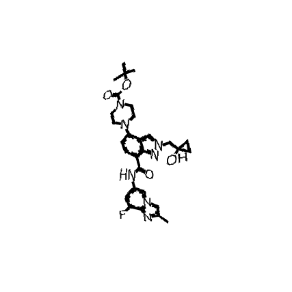 Cc1cn2cc(NC(=O)c3ccc(N4CCN(C(=O)OC(C)(C)C)CC4)c4cn(CC5(O)CC5)nc34)cc(F)c2n1